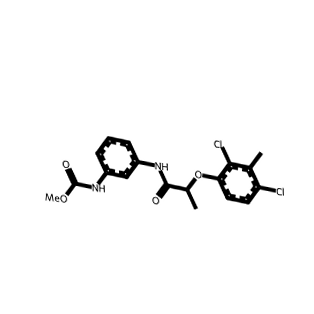 COC(=O)Nc1cccc(NC(=O)C(C)Oc2ccc(Cl)c(C)c2Cl)c1